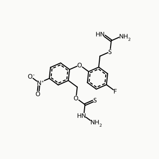 N=C(N)SCc1cc(F)ccc1Oc1ccc([N+](=O)[O-])cc1COC(=S)NN